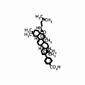 CN(C)CCNC(=O)[C@]12CCC(C)(C)C[C@H]1C1=CC[C@@H]3[C@@]4(C)CC=C(c5ccc(C(=O)O)cc5)C(C)(C)[C@@H]4CC[C@@]3(C)[C@]1(C)CC2